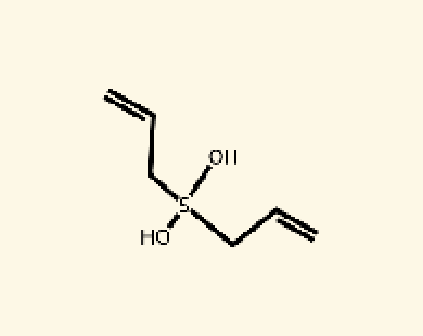 C=CCS(O)(O)CC=C